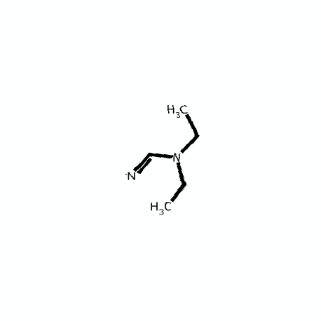 CCN(C=[N])CC